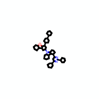 c1ccc(-c2ccc(-c3cc(-n4c5ccccc5c5c(-c6cc(-c7ccccc7)nc(-c7ccccc7)n6)cccc54)cc4c3oc3ccccc34)cc2)cc1